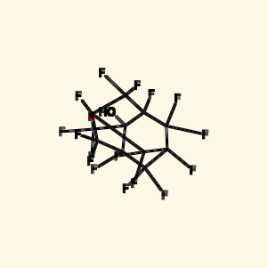 OC1(C(F)(F)F)C2(F)C(F)(F)C3(F)C(F)(F)C(F)(C2(F)F)C(F)(F)C1(F)C3(F)F